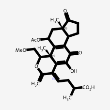 C=C1OC(COC)[C@@]2(C)C(=C(O)C(=O)C3=C2C(OC(C)=O)C[C@]2(C)C(=O)CCC32)/C1=C\CC(C)C(=O)O